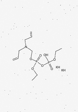 C=CCN(CC=C)COP(=O)(OCC)OP(=O)(O)OCC.[KH].[KH]